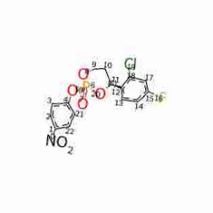 O=[N+]([O-])c1ccc(O[P@]2(=O)OCC[C@@H](c3ccc(F)cc3Cl)O2)cc1